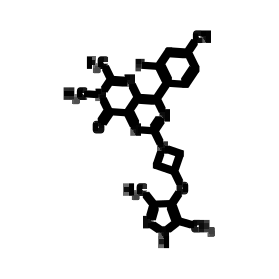 Cc1n[nH]c(C)c1OC1CN(c2nc(-c3ccc(C#N)cc3F)c3nc(C(F)(F)F)n(C)c(=O)c3n2)C1